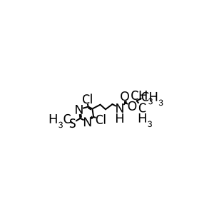 CSc1nc(Cl)c(CCCNC(=O)OC(C)(C)C)c(Cl)n1